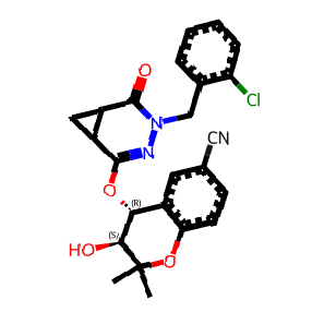 CC1(C)Oc2ccc(C#N)cc2[C@@H](OC2=NN(Cc3ccccc3Cl)C(=O)C3CC23)[C@@H]1O